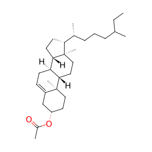 CCC(C)CCC[C@@H](C)[C@H]1CC[C@H]2[C@@H]3CC=C4C[C@@H](OC(C)=O)CC[C@]4(C)[C@H]3CC[C@]12C